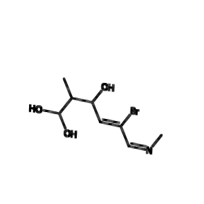 C/N=C\C(Br)=C\C(O)C(C)C(O)O